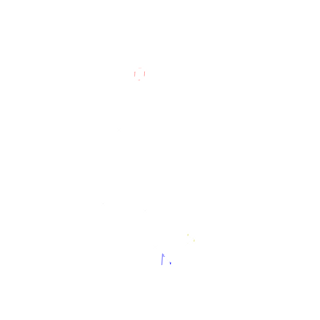 c1ccc(-c2nc3c(cc(-c4c5ccccc5c(-c5ccc6c(c5)oc5ccccc56)c5ccccc45)c4ccccc43)s2)cc1